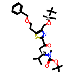 CC(C)[C@@H](CC(=O)c1nc(CO[Si](C)(C)C(C)(C)C)c(CCOCc2ccccc2)s1)N(C)C(=O)OC(C)(C)C